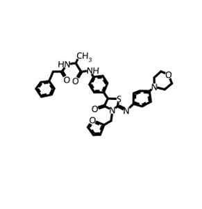 CC(NC(=O)Cc1ccccc1)C(=O)Nc1ccc(C2S/C(=N\c3ccc(N4CCOCC4)cc3)N(Cc3ccco3)C2=O)cc1